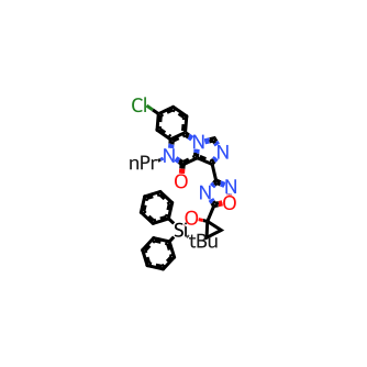 CCCn1c(=O)c2c(-c3noc(C4(O[Si](c5ccccc5)(c5ccccc5)C(C)(C)C)CC4)n3)ncn2c2ccc(Cl)cc21